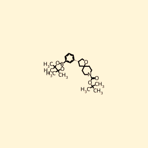 CC(C)(C)OC(=O)N1CCC2(CC1)C[C@H](c1cccc(B3OC(C)(C)C(C)(C)O3)c1)CO2